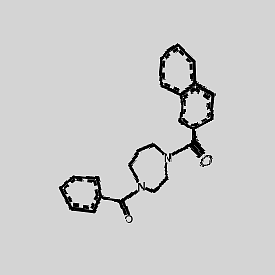 O=C(c1ccccc1)N1CCCN(C(=O)c2ccc3ccccc3c2)CC1